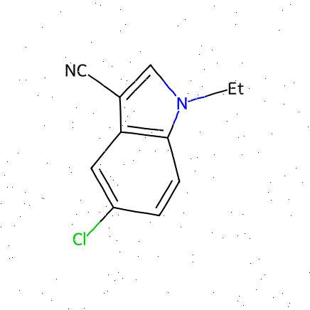 CCn1cc(C#N)c2cc(Cl)ccc21